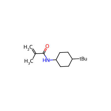 C=C(C)C(=O)NC1CCC(C(C)(C)C)CC1